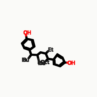 [CH2]CC(CC(CCCCCCCC)C(c1ccc(O)cc1)C(C)CC)C(c1ccc(O)cc1)C(C)CC